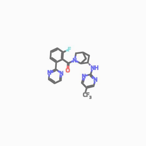 O=C(c1c(F)cccc1-c1ncccn1)N1CC2CC1[C@@H](Nc1ncc(C(F)(F)F)cn1)C2